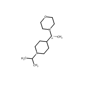 CC(C)N1CCC([C@@H](C)N2CCOCC2)CC1